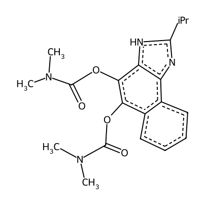 CC(C)c1nc2c([nH]1)c(OC(=O)N(C)C)c(OC(=O)N(C)C)c1ccccc12